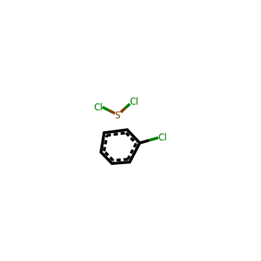 ClSCl.Clc1ccccc1